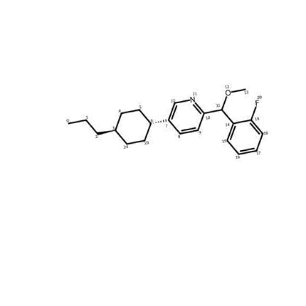 CCC[C@H]1CC[C@H](c2ccc(C(OC)c3ccccc3F)nc2)CC1